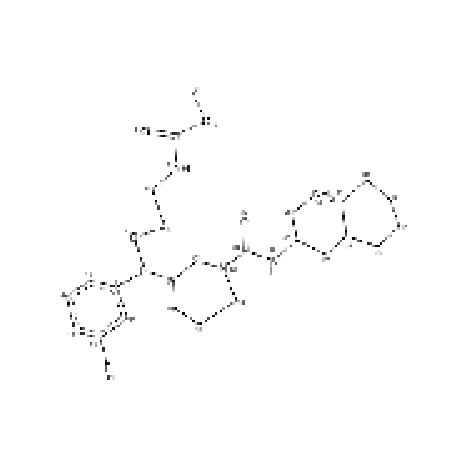 COC(=O)NCCOC(c1cccc(F)c1)C1CCCN(C(=O)NC(CN)CC2CCCCC2)C1